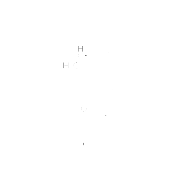 Cc1ccccc1C1=c2ccc3c(c2CCC1C)C(Oc1cccc(Cl)c1)C=c1ccccc1=3